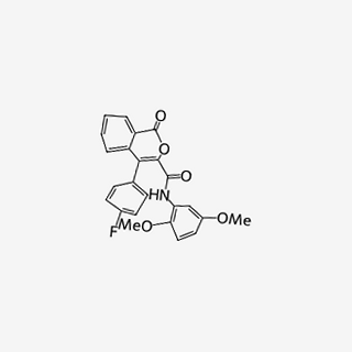 COc1ccc(OC)c(NC(=O)c2oc(=O)c3ccccc3c2-c2ccc(F)cc2)c1